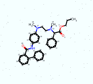 CCCOC(=O)C(c1ccccc1)N(C)CCN(C)c1ccc(NC(=O)c2ccccc2-c2ccccc2)cc1